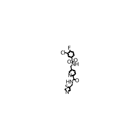 O=C(NCc1cncs1)c1ccc(CNS(=O)(=O)c2ccc(F)c(Cl)c2)cn1